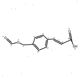 O=COCc1ccc(/C=C/C(=O)O)cc1